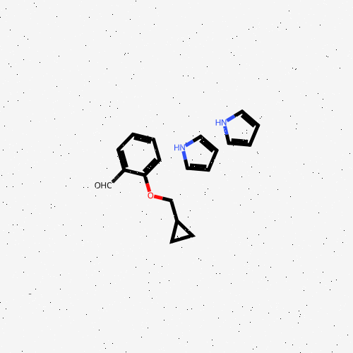 O=Cc1ccccc1OCC1CC1.c1cc[nH]c1.c1cc[nH]c1